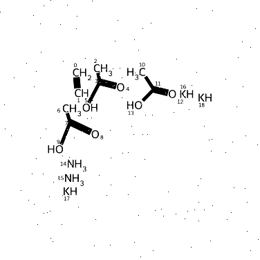 C=C.CC(=O)O.CC(=O)O.CC(=O)O.N.N.[KH].[KH].[KH]